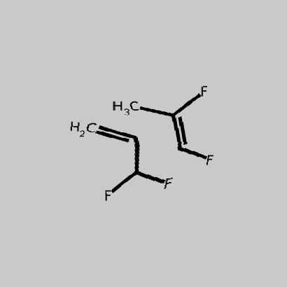 C=CC(F)F.CC(F)=CF